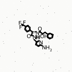 Nc1ccc(CNC(=O)[C@@H](CNC(=O)[C@H](O)Cc2ccccc2)c2ccc(C(F)(F)F)cc2)cn1